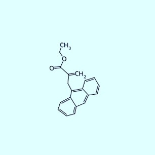 C=C(Cc1c2ccccc2cc2ccccc12)C(=O)OCC